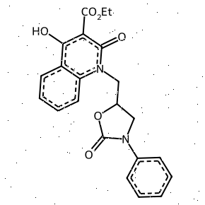 CCOC(=O)c1c(O)c2ccccc2n(CC2CN(c3ccccc3)C(=O)O2)c1=O